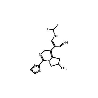 CC1CC2=C(/C(C=N)=C/NC(F)F)CN=C(c3nccs3)N2C1